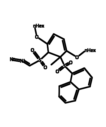 CCCCCCOC1=CC=C(OCCCCCC)C(C)(S(=O)(=O)c2cccc3ccccc23)C1S(=O)(=O)C=[N+]=[N-]